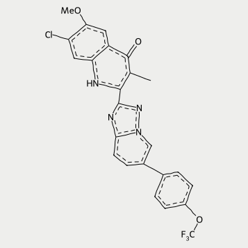 COc1cc2c(=O)c(C)c(-c3nc4ccc(-c5ccc(OC(F)(F)F)cc5)cn4n3)[nH]c2cc1Cl